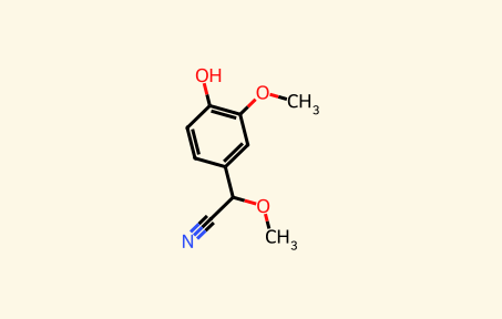 COc1cc(C(C#N)OC)ccc1O